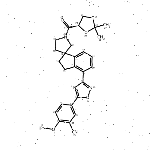 CC(C)Oc1ccc(-c2nc(-c3cccc4c3CCC43CCN(C(=O)[C@H]4COC(C)(C)O4)C3)no2)cc1C#N